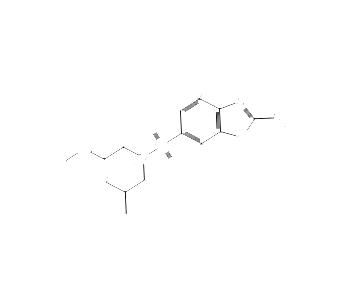 COCCN(CC(C)C)S(=O)(=O)c1ccc2nc(N)oc2c1